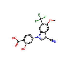 COc1cc2c(C#N)cn(-c3ccc(C(=O)O)c(O)c3)c2cc1C(F)(F)F